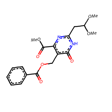 COC(=O)c1nc(CC(OC)OC)[nH]c(=O)c1COC(=O)c1ccccc1